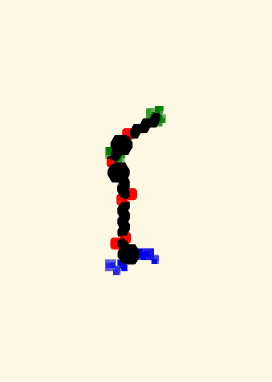 Nc1cc(N)cc(C(=O)OCCCCCCOC(=O)/C=C/c2ccc(OC(F)(F)c3ccc(OCCCCCC(F)(F)F)cc3)cc2)c1